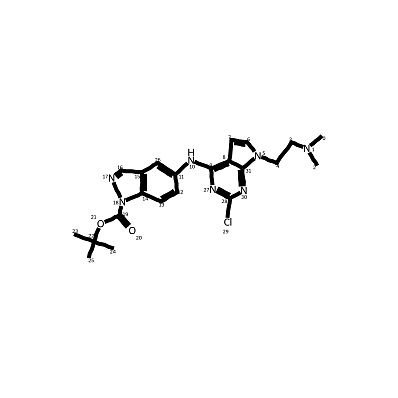 CN(C)CCn1ccc2c(Nc3ccc4c(cnn4C(=O)OC(C)(C)C)c3)nc(Cl)nc21